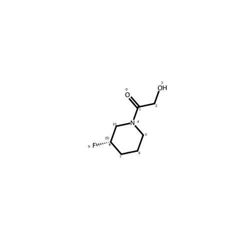 O=C(CO)N1CCC[C@H](F)C1